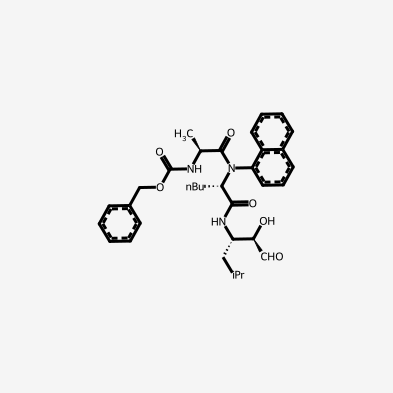 CCCC[C@@H](C(=O)N[C@@H](CC(C)C)[C@@H](O)C=O)N(C(=O)[C@H](C)NC(=O)OCc1ccccc1)c1cccc2ccccc12